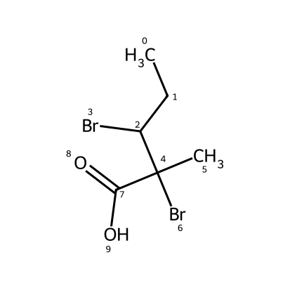 CCC(Br)C(C)(Br)C(=O)O